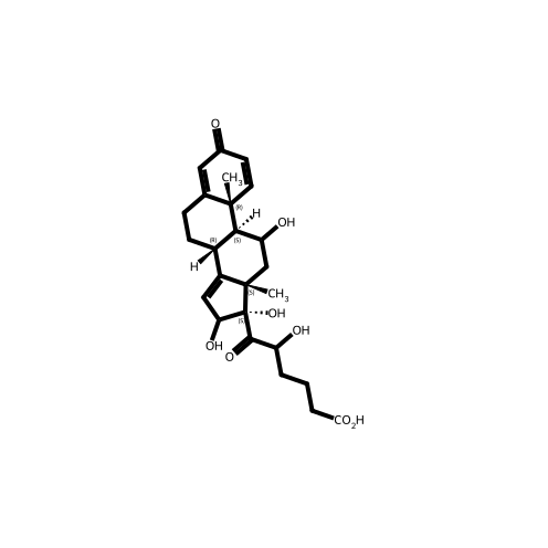 C[C@]12C=CC(=O)C=C1CC[C@H]1C3=CC(O)[C@](O)(C(=O)C(O)CCCC(=O)O)[C@@]3(C)CC(O)[C@@H]12